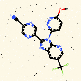 COc1ccc(-n2c(-c3cnc(C#N)cn3)nc3cc(C(F)(F)F)cnc32)nn1